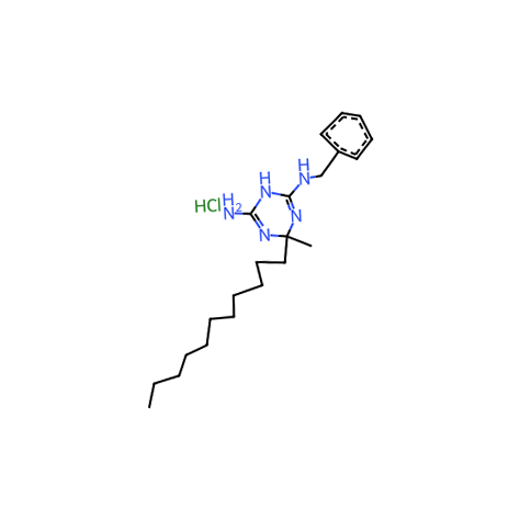 CCCCCCCCCCCC1(C)N=C(N)NC(NCc2ccccc2)=N1.Cl